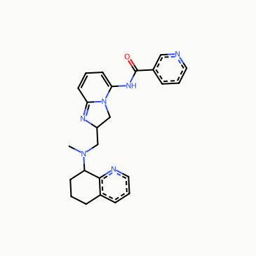 CN(CC1CN2C(NC(=O)c3cccnc3)=CC=CC2=N1)C1CCCc2cccnc21